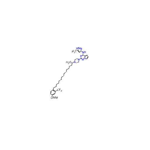 COc1ccc(CCCCCCCCCCCCCCC(C)N2CCN(c3nc(Nc4cc(C)[nH]n4)c4cccn4n3)CC2)c(C(F)(F)F)c1